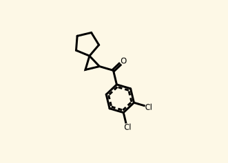 O=C(c1ccc(Cl)c(Cl)c1)C1CC12CCCC2